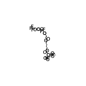 O=C(C=Cc1ccc(C(F)(F)Oc2ccc(OCC(F)(F)F)cc2)cc1)OCCCCCCOC(=O)c1cc([N+](=O)[O-])cc([N+](=O)[O-])c1